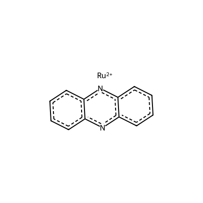 [Ru+2].c1ccc2nc3ccccc3nc2c1